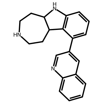 c1cc2c(c(-c3cnc4ccccc4c3)c1)C1CCNCCC1N2